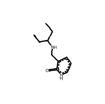 CCC(CC)NCc1ccc[nH]c1=O